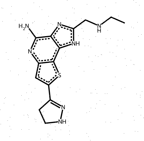 CCNCc1nc2c(N)nc3cc(C4=NNCC4)sc3c2[nH]1